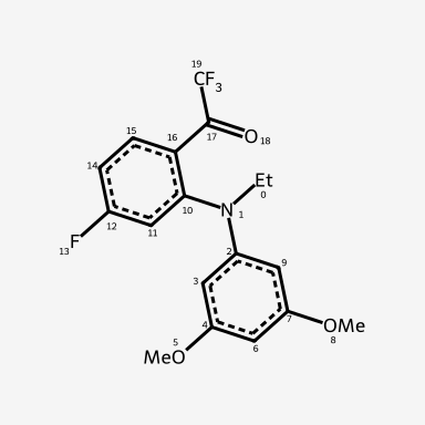 CCN(c1cc(OC)cc(OC)c1)c1cc(F)ccc1C(=O)C(F)(F)F